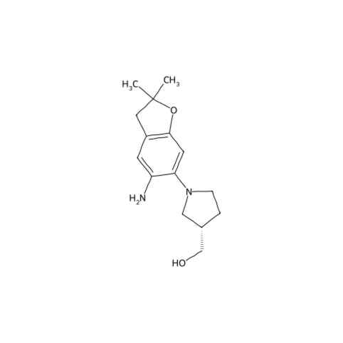 CC1(C)Cc2cc(N)c(N3CC[C@H](CO)C3)cc2O1